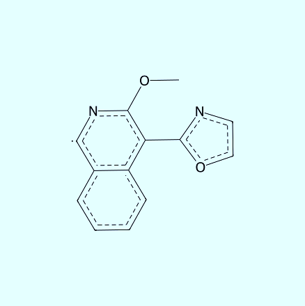 COc1n[c]c2ccccc2c1-c1ncco1